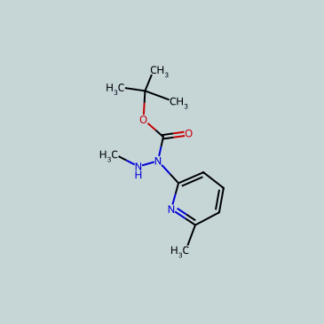 CNN(C(=O)OC(C)(C)C)c1cccc(C)n1